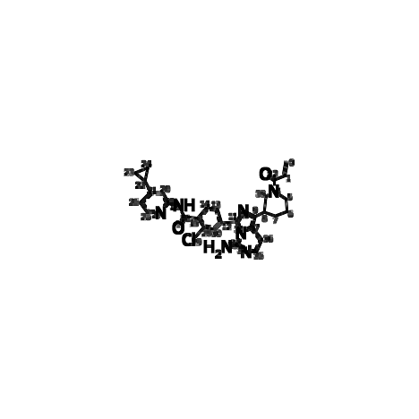 C=CC(=O)N1CCCC(c2nc(-c3ccc(C(=O)Nc4cc(C5CC5)ccn4)c(Cl)c3)n3c(N)nccc23)C1